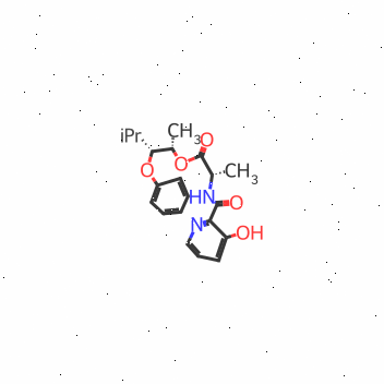 CC(C)[C@@H](Oc1ccccc1)[C@H](C)OC(=O)[C@H](C)NC(=O)c1ncccc1O